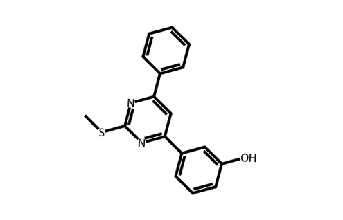 CSc1nc(-c2ccccc2)cc(-c2cccc(O)c2)n1